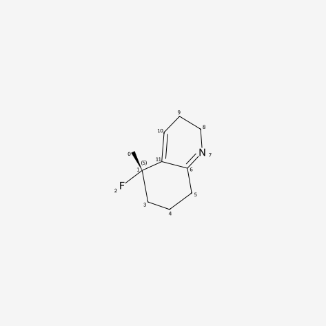 C[C@]1(F)CCCC2=NCCC=C21